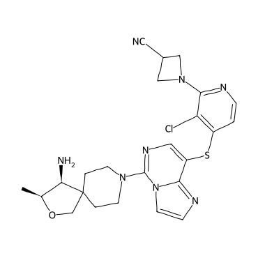 C[C@@H]1OCC2(CCN(c3ncc(Sc4ccnc(N5CC(C#N)C5)c4Cl)c4nccn34)CC2)[C@@H]1N